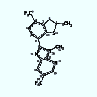 CC1Cc2c(C(F)(F)F)ccc(-c3nc4cc(C(F)(F)F)cnc4n3C)c2S1